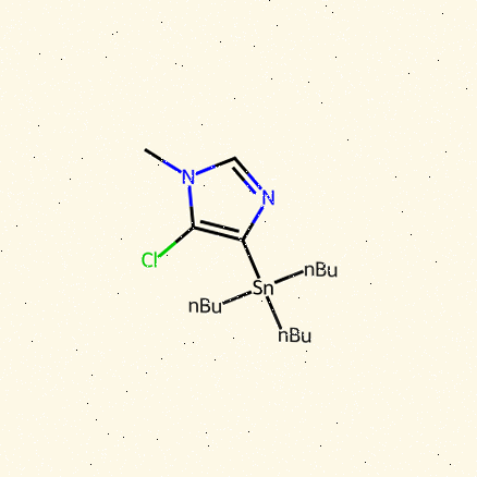 CCC[CH2][Sn]([CH2]CCC)([CH2]CCC)[c]1ncn(C)c1Cl